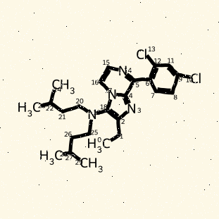 CCc1nc2c(-c3ccc(Cl)cc3Cl)nccn2c1N(CCC(C)C)CCC(C)C